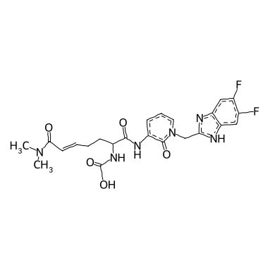 CN(C)C(=O)C=CCCC(NC(=O)O)C(=O)Nc1cccn(Cc2nc3cc(F)c(F)cc3[nH]2)c1=O